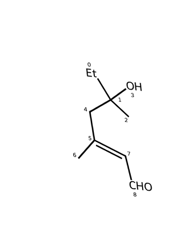 CCC(C)(O)CC(C)=CC=O